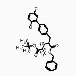 C[C@H](NC(Cc1ccc(-c2cc(Cl)ccc2Cl)cc1)C(=O)OCc1ccccc1)C(=O)OC(C)(C)C